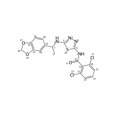 CC(Nc1nnc(NC(=O)c2c(Cl)cccc2Cl)s1)c1ccc2c(c1)OCO2